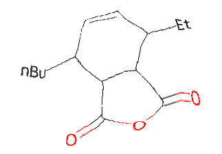 CCCCC1C=CC(CC)C2C(=O)OC(=O)C12